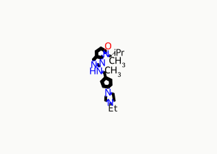 CCN1CCN(c2ccc([C@H](C)Nc3ncc4ccc(=O)n([C@@H](C)C(C)C)c4n3)cc2)CC1